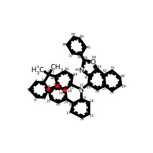 CC1(C)c2ccccc2-c2cc(N(c3ccccc3-c3ccccc3)c3cc4ccccc4c4oc(-c5ccccc5)nc34)ccc21